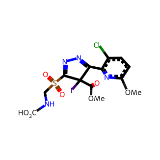 COC(=O)C1(I)C(c2nc(OC)ccc2Cl)=NN=C1S(=O)(=O)CNC(=O)O